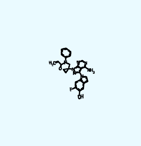 C=CC(=O)N(CC1(n2nc(-n3ccc4cc(O)c(F)cc43)c3c(N)ncnc32)CC1)c1ccccc1